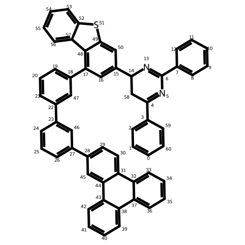 c1ccc(C2=NC(c3ccccc3)=NC(c3cc(-c4cccc(-c5cccc(-c6ccc7c8ccccc8c8ccccc8c7c6)c5)c4)c4c(c3)sc3ccccc34)C2)cc1